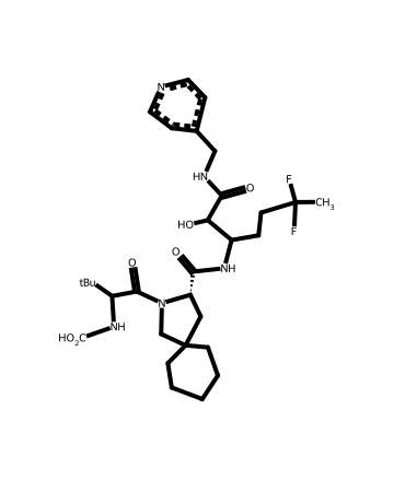 CC(F)(F)CCC(NC(=O)[C@@H]1CC2(CCCCC2)CN1C(=O)C(NC(=O)O)C(C)(C)C)C(O)C(=O)NCc1ccncc1